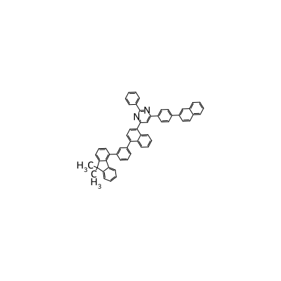 CC1(C)c2ccccc2-c2c(-c3cccc(-c4ccc(-c5cc(-c6ccc(-c7ccc8ccccc8c7)cc6)nc(-c6ccccc6)n5)c5ccccc45)c3)cccc21